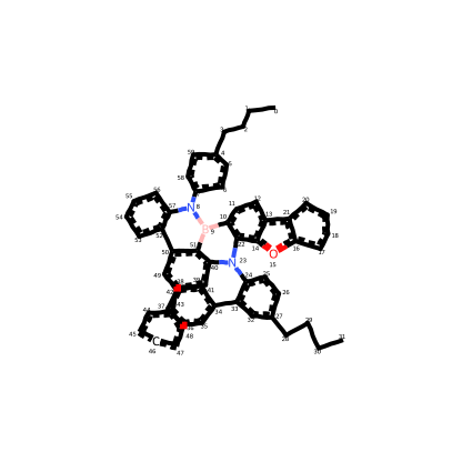 CCCCc1ccc(N2B3c4ccc5c(oc6ccccc65)c4N(c4ccc(CCCC)cc4-c4ccccc4)c4cc(-c5ccccc5)cc(c43)-c3ccccc32)cc1